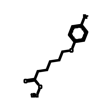 CC(C)(C)OC(=O)CCCCCOc1ccc(Br)cc1